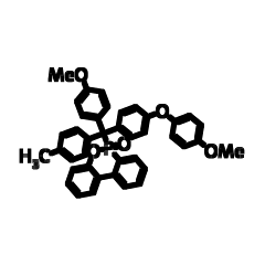 COc1ccc(Oc2ccc(C(c3ccc(C)cc3)(c3ccc(OC)cc3)P3(=O)Oc4ccccc4-c4ccccc43)cc2)cc1